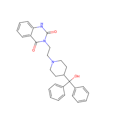 O=c1[nH]c2ccccc2c(=O)n1CCN1CCC(C(O)(c2ccccc2)c2ccccc2)CC1